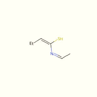 C/C=N\C(S)=C/CC